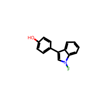 Oc1ccc(-c2cn(F)c3ccccc23)cc1